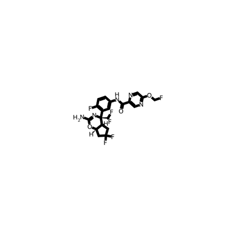 NC1=N[C@@](c2cc(NC(=O)c3cnc(OCF)cn3)ccc2F)(C(F)F)[C@H]2CC(F)(F)C[C@H]2O1